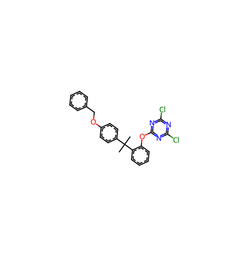 CC(C)(c1ccc(OCc2ccccc2)cc1)c1ccccc1Oc1nc(Cl)nc(Cl)n1